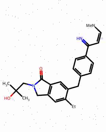 CCc1cc2c(cc1Cc1ccc(C(=N)/C=C\NC)cc1)C(=O)N(CC(C)(C)O)C2